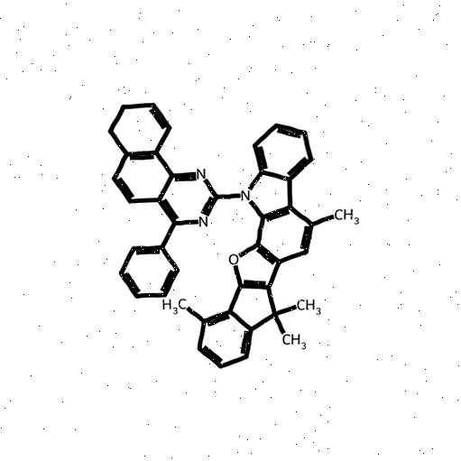 Cc1cccc2c1-c1oc3c(cc(C)c4c5ccccc5n(-c5nc(-c6ccccc6)c6ccc7c(c6n5)C=CCC7)c34)c1C2(C)C